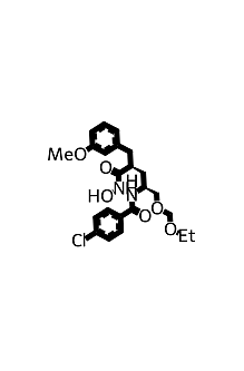 CCOCOC[C@H](C[C@H](Cc1cccc(OC)c1)C(=O)NO)NC(=O)c1ccc(Cl)cc1